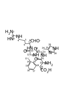 N=C(N)NCCC[C@@H]([C]=O)NC(=O)[C@@H](Cc1ccccc1)NC(=O)[C@H](Cc1c[nH]cn1)NC(=O)[C@@H](N)CC(=O)O